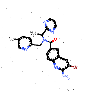 CC(c1ncccn1)N(Cc1ccc(C#N)cn1)C(=O)c1ccc2nc(N)c(Br)cc2c1